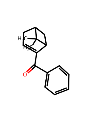 CC1(C)C2CC=C(C(=O)c3ccccc3)C1C2